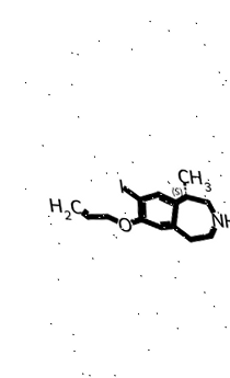 C=CCOc1cc2c(cc1I)[C@H](C)CNCC2